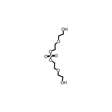 O=S(=O)(OCCOCCO)OCCOCCO